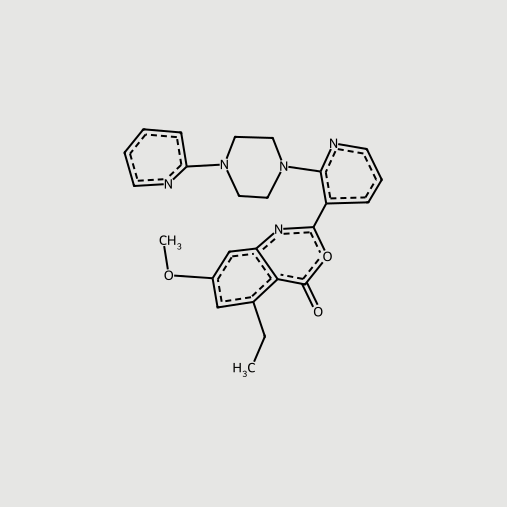 CCc1cc(OC)cc2nc(-c3cccnc3N3CCN(c4ccccn4)CC3)oc(=O)c12